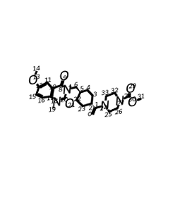 C=C([C@H]1CC[C@H](Cn2c(=O)c3cc(OC)ccc3n(C)c2=O)CC1)N1CCN(C(=O)OC)CC1